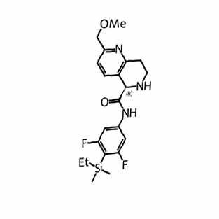 CC[Si](C)(C)c1c(F)cc(NC(=O)[C@@H]2NCCc3nc(COC)ccc32)cc1F